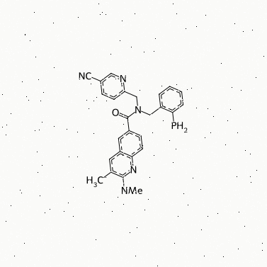 CNc1nc2ccc(C(=O)N(Cc3ccc(C#N)cn3)Cc3ccccc3P)cc2cc1C